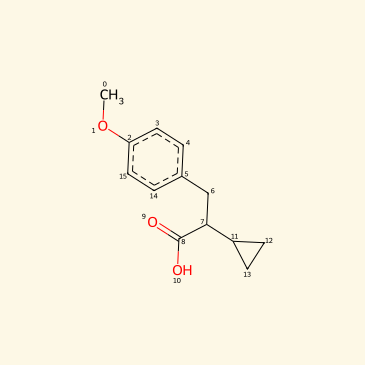 COc1ccc(CC(C(=O)O)C2CC2)cc1